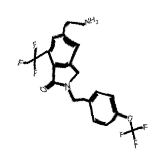 NCc1cc2c(c(C(F)(F)F)c1)C(=O)N(Cc1ccc(OC(F)(F)F)cc1)C2